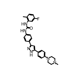 Cc1ccc(F)cc1NC(=O)Nc1ccc(-c2cc(-c3ccc(N4CCN(C)CC4)cc3)[nH]n2)cc1